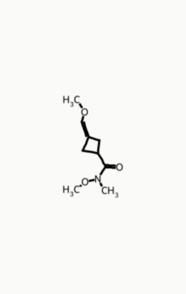 COC=C1CC(C(=O)N(C)OC)C1